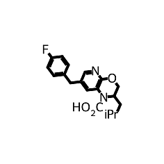 CC(C)CC1COc2ncc(Cc3ccc(F)cc3)cc2N1C(=O)O